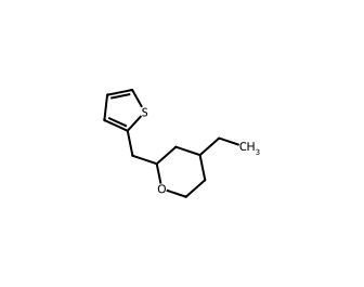 CCC1CCOC(Cc2cccs2)C1